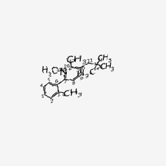 Cc1ccccc1-c1ccc(CC(C)(C)C)c(C)[n+]1C